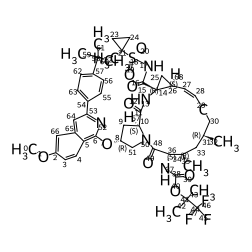 COc1ccc2c(O[C@@H]3C[C@H]4C(=O)N[C@]5(C(=O)NS(=O)(=O)C6(C)CC6)C[C@H]5C=CCC[C@@H](C)C[C@@H](C)[C@H](NC(=O)OC(C)(C)C(F)(F)F)C(=O)N4C3)nc(-c3ccc(C(C)(C)C)cc3)cc2c1